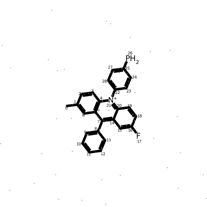 Cc1ccc2c(c1)c(-c1ccccc1)c1cc(F)ccc1[n+]2-c1ccc(P)cc1